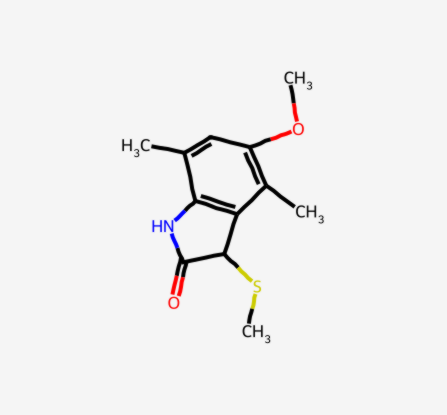 COc1cc(C)c2c(c1C)C(SC)C(=O)N2